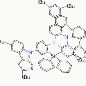 CC(C)(C)c1cc(-c2ccc3c(c2)N(c2c(-c4ccccc4)cccc2-c2ccccc2)c2cc(C(C)(C)C)cc4c2B3c2ccc(-n3c5ccc(C(C)(C)C)cc5c5cc(C(C)(C)C)ccc53)cc2[Si]4(c2ccccc2)c2ccccc2)cc(C(C)(C)C)c1